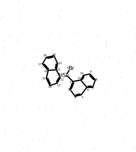 Br[SiH](c1cccc2ccccc12)c1cccc2ccccc12